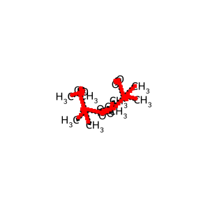 CCCCCCCCC1C(CCCCCC)CCC(CCCCCCCCC(C)(CCCCC)n2c(=O)c3cc4c(=O)n(CCCCCCCCC5C(CCCCCCCCC(CC)(CCCCCC)N6C(=O)C=CC6=O)CCC(CCCCCC)C5CCCCCCCC)c(=O)c4cc3c2=O)C1CCCCCCCCN1C(=O)C=CC1=O